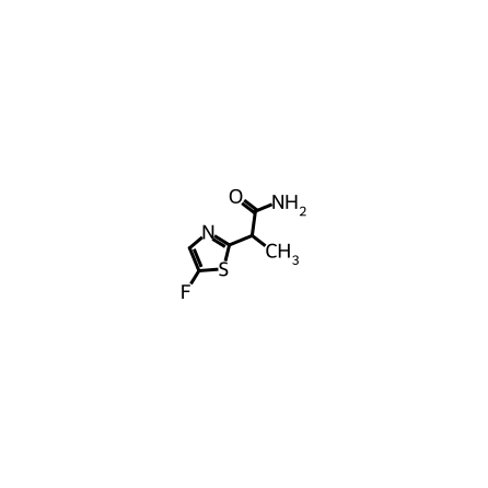 CC(C(N)=O)c1ncc(F)s1